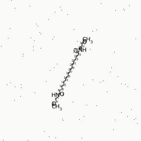 COCCCNC(=O)CCCCCCCCCCCCCCCCCCC(=O)NCCCOC